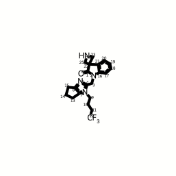 O=C1N(Cc2nc3c(n2CCCC(F)(F)F)CCC3)c2ccccc2C12CNC2